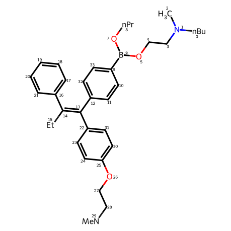 CCCCN(C)CCOB(OCCC)c1ccc(C(=C(CC)c2ccccc2)c2ccc(OCCNC)cc2)cc1